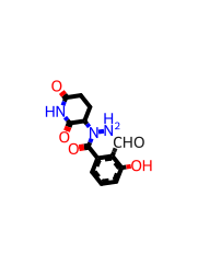 NN(C(=O)c1cccc(O)c1C=O)C1CCC(=O)NC1=O